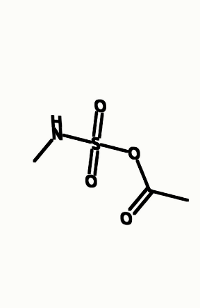 CNS(=O)(=O)OC(C)=O